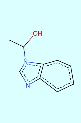 [CH2]C(O)n1cnc2ccccc21